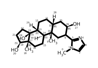 Cn1ccnc1C1C[C@@]2(C)[C@H](CC[C@@H]3[C@@H]2CC[C@]2(C)[C@@H](O)CC[C@]32O)C[C@H]1O